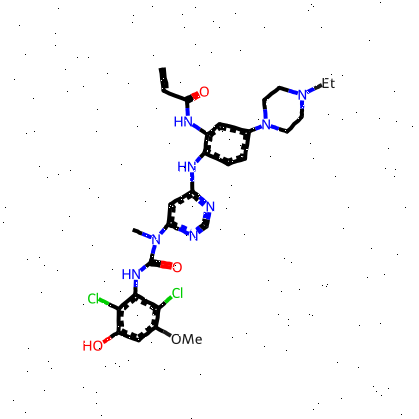 C=CC(=O)Nc1cc(N2CCN(CC)CC2)ccc1Nc1cc(N(C)C(=O)Nc2c(Cl)c(O)cc(OC)c2Cl)ncn1